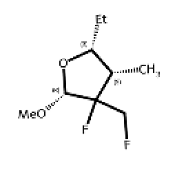 CC[C@H]1O[C@@H](OC)C(F)(CF)[C@H]1C